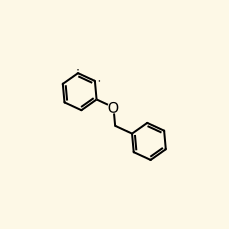 [c]1[c]c(OCc2ccccc2)ccc1